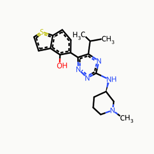 CC(C)c1nc(N[C@@H]2CCCN(C)C2)nnc1-c1ccc2sccc2c1O